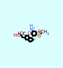 CCS(=O)(=O)c1ccc(Oc2c(C)c(CC(=O)O)cc3ccc(F)cc23)c(N)c1